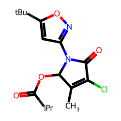 CC1=C(Cl)C(=O)N(c2cc(C(C)(C)C)on2)C1OC(=O)C(C)C